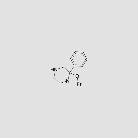 CCOC1(c2ccccc2)CNCC[N]1